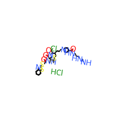 Cl.N=CNCCCNC(=O)c1cc[n+](C/C=C/C2=C(C(=O)Cl)N3C(=O)[C@@H](NC(=O)CSc4nc5ccccc5s4)[C@H]3SC2)cc1